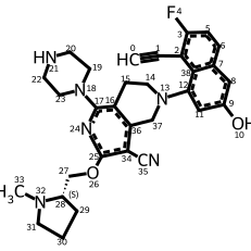 C#Cc1c(F)ccc2cc(O)cc(N3CCc4c(N5CCNCC5)nc(OC[C@@H]5CCCN5C)c(C#N)c4C3)c12